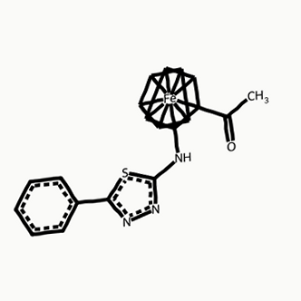 CC(=O)[C]12[CH]3[CH]4[CH]5[C]1(Nc1nnc(-c6ccccc6)s1)[Fe]45321678[CH]2[CH]1[CH]6[CH]7[CH]28